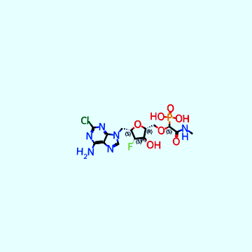 CNC(=O)[C@@H](OC[C@H]1O[C@@H](Cn2cnc3c(N)nc(Cl)nc32)[C@@H](F)[C@@H]1O)P(=O)(O)O